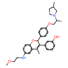 COCCNc1ccc2c(c1)C(C)=C(c1cccc(O)c1)C(c1ccc(OCC(C)N3CCC(C)C3)cc1)O2